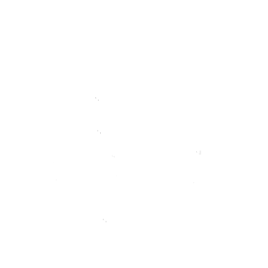 COCCN1CCN(c2nc(SCCc3c[nH]c4ccccc34)c(C#N)c3c2COC(C)(C)C3)CC1